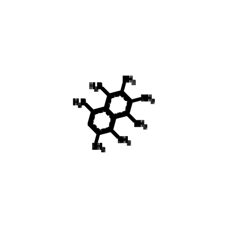 Bc1cc(B)c2c(B)c(B)c(N)c(B)c2c1B